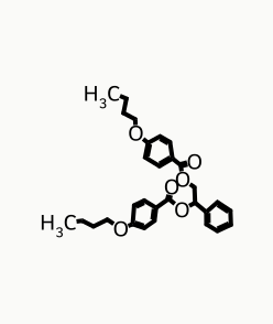 CCCCOc1ccc(C(=O)OCC(OC(=O)c2ccc(OCCCC)cc2)c2ccccc2)cc1